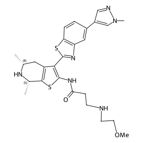 COCCNCCC(=O)Nc1sc2c(c1-c1nc3cc(-c4cnn(C)c4)ccc3s1)C[C@@H](C)N[C@H]2C